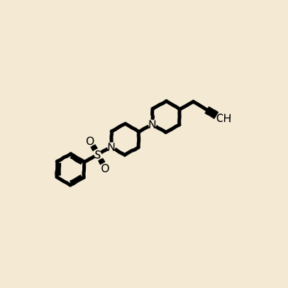 C#CCC1CCN(C2CCN(S(=O)(=O)c3ccccc3)CC2)CC1